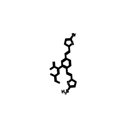 BC1=CCC(/C=C/c2ccc(/C=C/C3CC=C(Br)S3)cc2/C(=C/C(C)=C\C)C(=C)C)S1